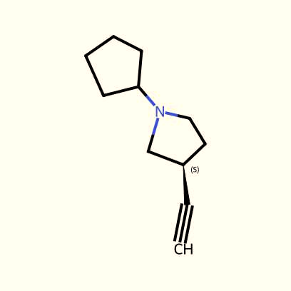 C#C[C@@H]1CCN(C2CCCC2)C1